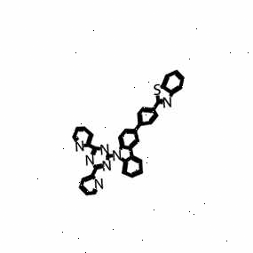 c1ccc(-c2nc(-c3ccccn3)nc(-n3c4ccccc4c4cc(-c5ccc(-c6nc7ccccc7s6)cc5)ccc43)n2)nc1